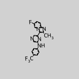 Cc1nc2ccc(F)cn2c1-c1cncc(Nc2ccc(C(F)(F)F)cc2)n1